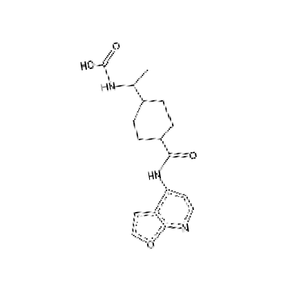 CC(NC(=O)O)C1CCC(C(=O)Nc2ccnc3occc23)CC1